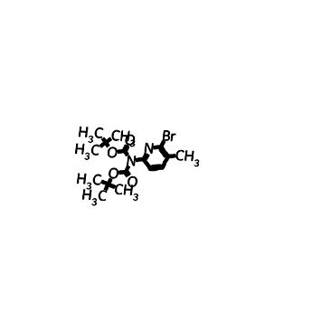 Cc1ccc(N(C(=O)OC(C)(C)C)C(=O)OC(C)(C)C)nc1Br